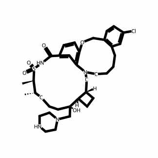 C[C@@H]1[C@@H](C)CCC[C@](O)(CN2CCNCC2)[C@@H]2CC[C@H]2CN2CCCCc3cc(Cl)ccc3COc3ccc(cc32)C(=O)NS1(=O)=O